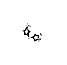 C[C@H]1C[C@@H](Oc2cnn(C)c2)CN1